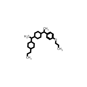 CCCOc1ccc(C(C)C2CCC(C(C)C3CCC(CCC)CC3)CC2)cc1